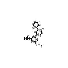 CNc1cc(N2CCN(C)C(c3ccccc3)C2)nc(N)n1